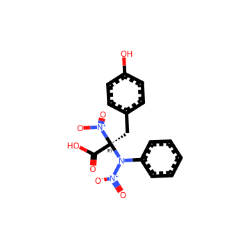 O=C(O)[C@](Cc1ccc(O)cc1)(N(c1ccccc1)[N+](=O)[O-])[N+](=O)[O-]